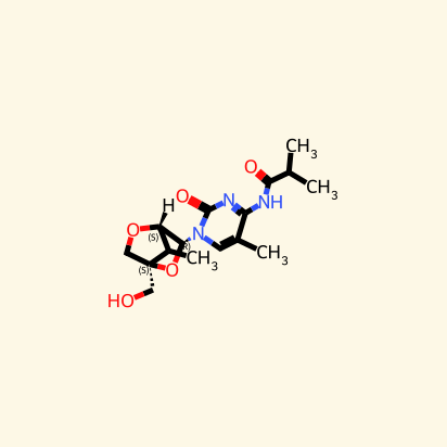 Cc1cn([C@@H]2O[C@@]3(CO)CO[C@H]2C3C)c(=O)nc1NC(=O)C(C)C